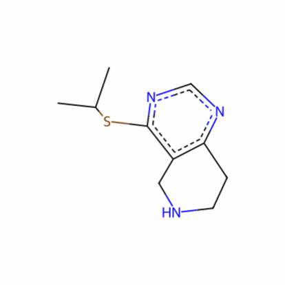 CC(C)Sc1ncnc2c1CNCC2